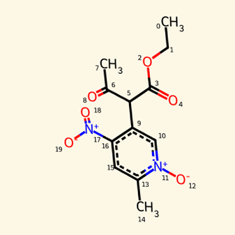 CCOC(=O)C(C(C)=O)c1c[n+]([O-])c(C)cc1[N+](=O)[O-]